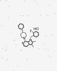 Cc1c(C)n(Cc2ccccc2F)c2c(N3CCC(c4ccccc4)CC3)nccc12.Cl